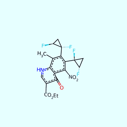 CCOC(=O)c1c[nH]c2c(C)c([C@]3(F)C[C@@H]3F)c([C@]3(F)C[C@@H]3F)c([N+](=O)[O-])c2c1=O